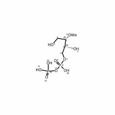 CO[C@@H](CO)[C@H](O)COP(=O)(O)OP(=O)(O)O